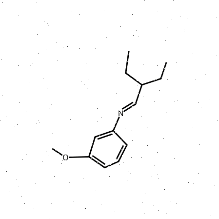 CCC(/C=N/c1cccc(OC)c1)CC